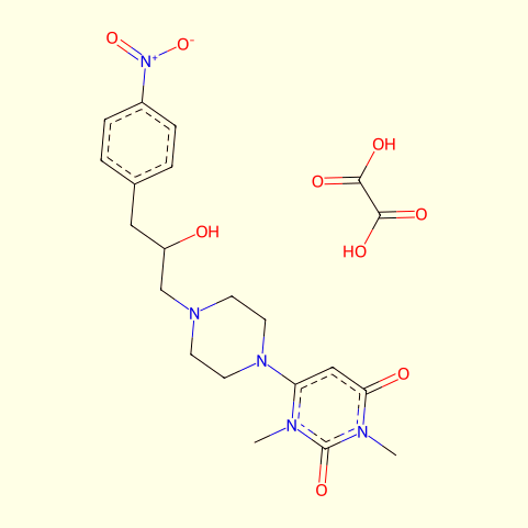 Cn1c(N2CCN(CC(O)Cc3ccc([N+](=O)[O-])cc3)CC2)cc(=O)n(C)c1=O.O=C(O)C(=O)O